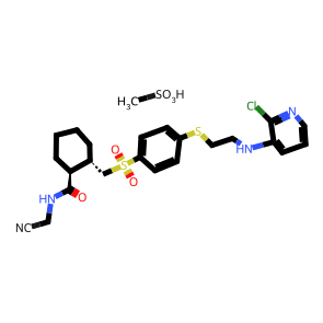 CS(=O)(=O)O.N#CCNC(=O)[C@H]1CCCC[C@@H]1CS(=O)(=O)c1ccc(SCCNc2cccnc2Cl)cc1